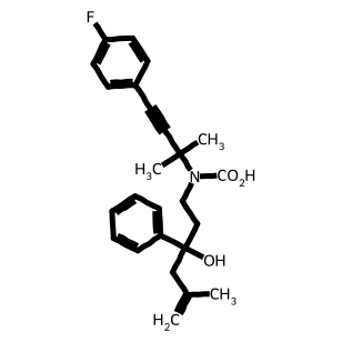 C=C(C)CC(O)(CCN(C(=O)O)C(C)(C)C#Cc1ccc(F)cc1)c1ccccc1